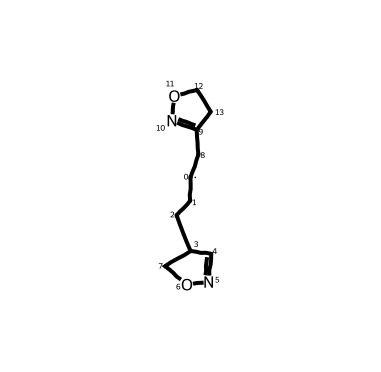 [CH](CCC1C=NOC1)CC1=NOCC1